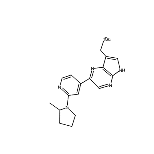 CC1CCCN1c1cc(-c2cnc3[nH]cc(CC(C)(C)C)c3n2)ccn1